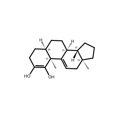 C[C@]12CC=C3[C@@H](CC[C@@H]4CCC(O)=C(O)[C@]34C)[C@@H]1CCC2